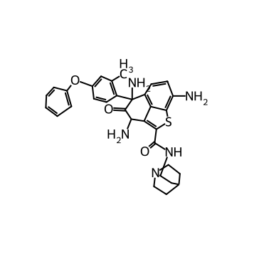 Cc1cc(Oc2ccccc2)ccc1C1(N)C(=O)C(N)c2c(C(=O)NC3CC4CCN3CC4)sc3c(N)ccc1c23